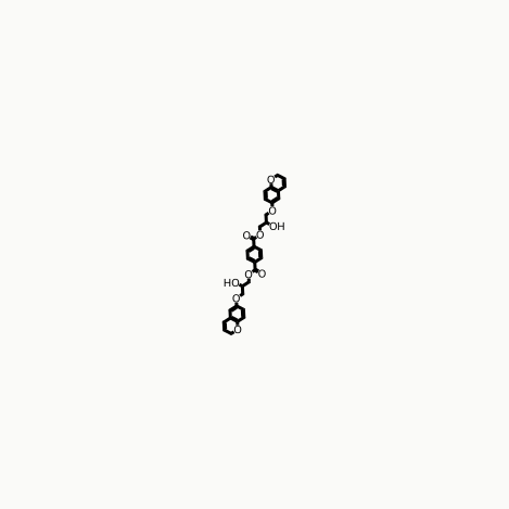 O=C(OCC(O)COc1ccc2c(c1)C=CCO2)c1ccc(C(=O)OCC(O)COc2ccc3c(c2)C=CCO3)cc1